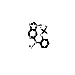 CN(c1cc2c(cn1)ncn2C)c1ccccc1OC(F)(F)F